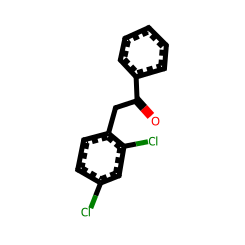 O=C(Cc1ccc(Cl)cc1Cl)c1ccccc1